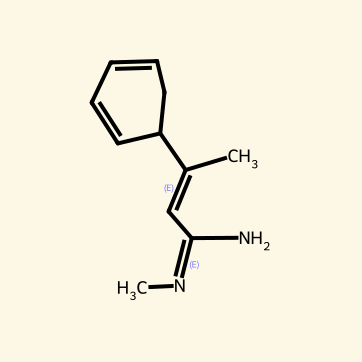 C/N=C(N)\C=C(/C)C1C=CC=CC1